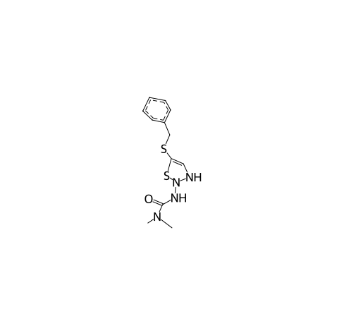 CN(C)C(=O)NN1NC=C(SCc2ccccc2)S1